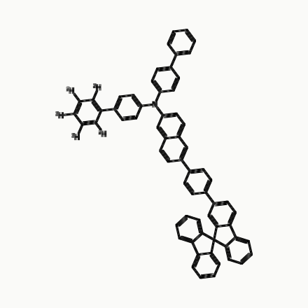 [2H]c1c([2H])c([2H])c(-c2ccc(N(c3ccc(-c4ccccc4)cc3)c3ccc4cc(-c5ccc(-c6ccc7c(c6)C6(c8ccccc8-c8ccccc86)c6ccccc6-7)cc5)ccc4c3)cc2)c([2H])c1[2H]